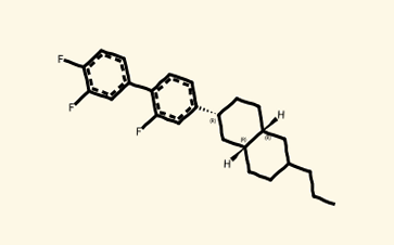 CCCC1CC[C@@H]2C[C@H](c3ccc(-c4ccc(F)c(F)c4)c(F)c3)CC[C@@H]2C1